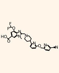 Cn1c(CN2CCC(c3cccc(OCc4ccc(C#N)cn4)n3)CC2)nc2c(OC(F)F)cc(C(=O)O)cc21